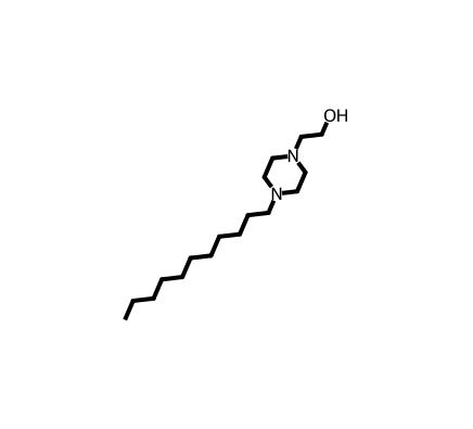 CCCCCCCCCCCN1CCN(CCO)CC1